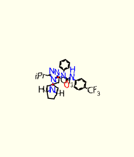 Cc1nnc(C(C)C)n1C1C[C@H]2CC[C@@H](C1)N2CCCN(C(=O)Nc1ccc(C(F)(F)F)cc1)c1ccccc1